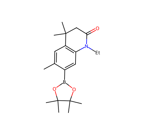 CCN1C(=O)CC(C)(C)c2cc(C)c(B3OC(C)(C)C(C)(C)O3)cc21